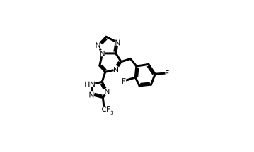 Fc1ccc(F)c(Cc2nc(-c3nc(C(F)(F)F)n[nH]3)cn3ncnc23)c1